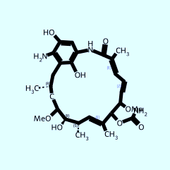 COC1/C=C\C=C(/C)C(=O)Nc2cc(O)c(N)c(c2O)C[C@@H](C)CC(OC)[C@H](O)[C@@H](C)/C=C(\C)C1OC(N)=O